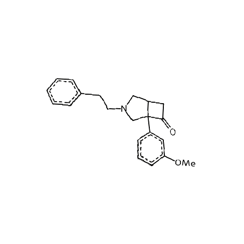 COc1cccc(C23CN(CCc4ccccc4)CC2CC3=O)c1